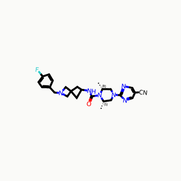 C[C@@H]1CN(c2ncc(C#N)cn2)C[C@H](C)N1C(=O)NC1CC2(C1)CN(Cc1ccc(F)cc1)C2